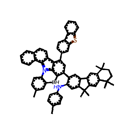 Cc1ccc(Nc2cc3c(cc2-c2cc(-c4ccc5c(c4)sc4ccccc45)c4c5ccc6ccccc6c5n5c4c2Bc2cc(C)ccc2-5)-c2cc4c(cc2C3(C)C)C(C)(C)CCC4(C)C)cc1